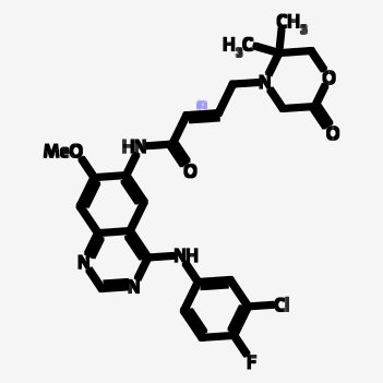 COc1cc2ncnc(Nc3ccc(F)c(Cl)c3)c2cc1NC(=O)/C=C/CN1CC(=O)OCC1(C)C